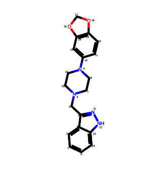 c1ccc2c(CN3CCN(c4ccc5c(c4)OCO5)CC3)n[nH]c2c1